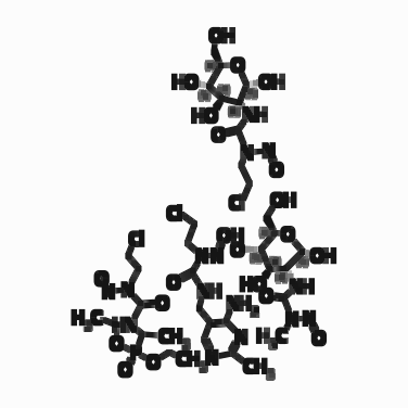 CCOP(=O)(OCC)C(C)NC(=O)N(CCCl)N=O.CN(N=O)C(=O)N[C@@H]1[C@@H](O)[C@H](O)[C@@H](CO)O[C@@H]1O.Cc1ncc(CNC(=O)N(CCCl)N=O)c(N)n1.O=NN(CCCl)C(=O)N[C@@H]1[C@@H](O)[C@H](O)[C@@H](CO)O[C@@H]1O